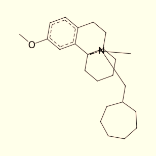 COc1ccc2c(c1)C13CCCCC1(CC2)C(C)N(CC1CCCCCC1)CC3